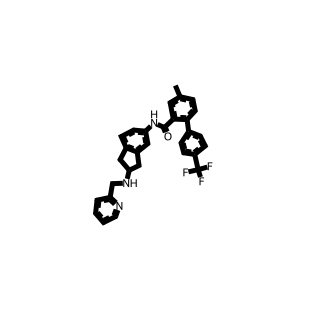 Cc1ccc(-c2ccc(C(F)(F)F)cc2)c(C(=O)Nc2ccc3c(c2)CC(NCc2ccccn2)C3)c1